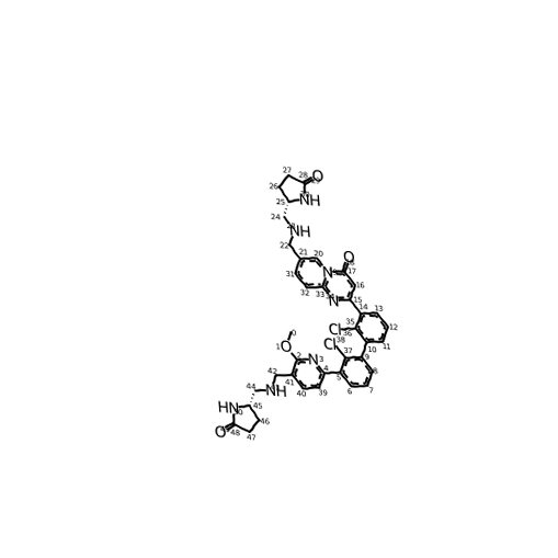 COc1nc(-c2cccc(-c3cccc(-c4cc(=O)n5cc(CNC[C@@H]6CCC(=O)N6)ccc5n4)c3Cl)c2Cl)ccc1CNC[C@@H]1CCC(=O)N1